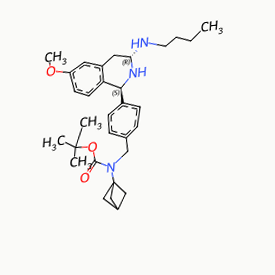 CCCCN[C@H]1Cc2cc(OC)ccc2[C@H](c2ccc(CN(C(=O)OC(C)(C)C)C34CC(C3)C4)cc2)N1